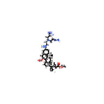 CC(C)OC(=O)CC[C@@H](C)[C@H]1CCC2C3C(CC[C@@]21C)[C@@]1(C)CC[C@H](NCCN(CCN)CCN)CC1C[C@@H]3O